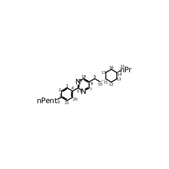 CCCCCc1ccc(-c2ncc(CC[C@H]3CC[C@H](CCC)CC3)cn2)cc1